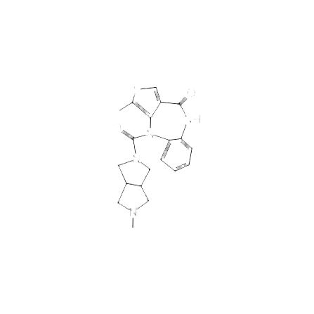 Cc1scc2c1N(C(=O)N1CC3CN(C)CC3C1)c1ccccc1NC2=O